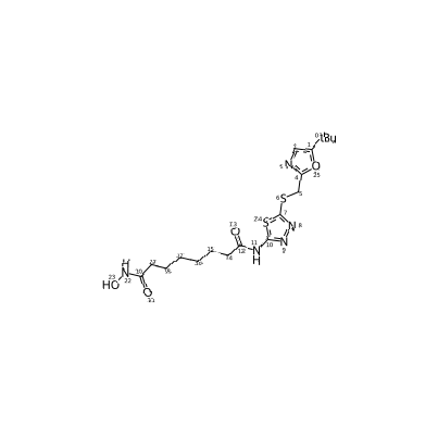 CC(C)(C)c1cnc(CSc2nnc(NC(=O)CCCCCCC(=O)NO)s2)o1